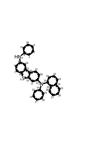 c1ccc(Nc2ccc3sc4cc(N(c5ccccc5)c5cccc6ccccc56)ccc4c3c2)cc1